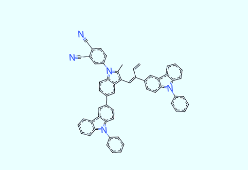 C=C/C(=C\c1c(C)n(-c2ccc(C#N)c(C#N)c2)c2ccc(-c3ccc4c(c3)c3ccccc3n4-c3ccccc3)cc12)c1ccc2c(c1)c1ccccc1n2-c1ccccc1